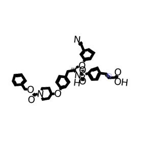 N#Cc1cccc(OC[C@H](Cc2ccc(OC3CCN(C(=O)OCc4ccccc4)CC3)cc2)NS(=O)(=O)c2ccc(/C=C/C(=O)O)cc2)c1